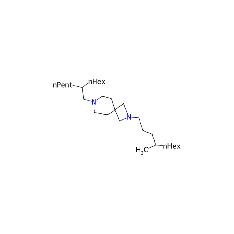 CCCCCCC(C)CCCN1CC2(CCN(CC(CCCCC)CCCCCC)CC2)C1